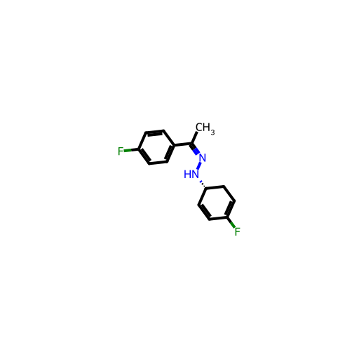 C/C(=N/N[C@H]1C=CC(F)=CC1)c1ccc(F)cc1